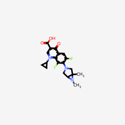 CN1C2CN(c3c(F)cc4c(=O)c(C(=O)O)cn(C5CC5)c4c3F)CC21C